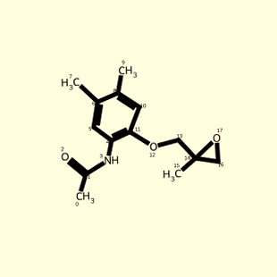 CC(=O)Nc1cc(C)c(C)cc1OCC1(C)CO1